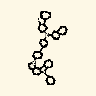 c1ccc(-n2c3ccccc3c3c4c(ccc32)ccn4-c2ccc(-c3ccc(N(c4ccc5ccccc5c4)c4ccc5sc6ccccc6c5c4)cc3)cc2)cc1